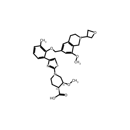 COc1cc(COc2c(C)cccc2-c2csc(N3CC[C@H](C(=O)O)[C@H](OC)C3)n2)cc2c1CN(C1COC1)CC2